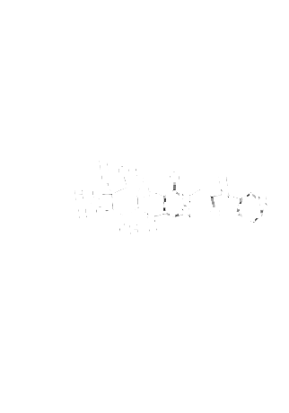 C[C@@H]1[C@@H](C)C(C)(C)[C@@H](C)C[C@H]1Nc1cnn(CC(=O)Nc2cccnc2)c(=O)c1Cl